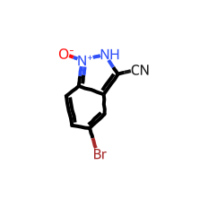 N#Cc1[nH][n+]([O-])c2ccc(Br)cc12